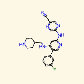 N#Cc1cnc(Nc2cc(NCC3CCNCC3)c(-c3cccc(F)c3)cn2)cn1